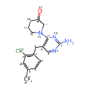 Nc1ncc(Cc2ccc(C(F)(F)F)cc2Cl)c(N2CCCC(=O)C2)n1